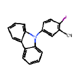 N#Cc1cc(-n2c3ccccc3c3ccccc32)ccc1I